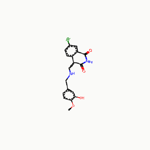 COc1ccc(CNC=C2C(=O)NC(=O)c3cc(Br)ccc32)cc1O